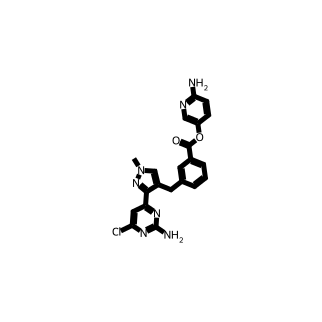 Cn1cc(Cc2cccc(C(=O)Oc3ccc(N)nc3)c2)c(-c2cc(Cl)nc(N)n2)n1